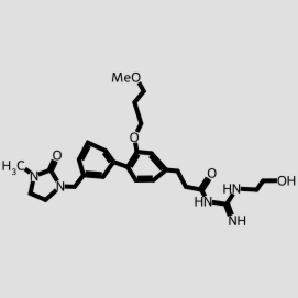 COCCCOc1cc(CCC(=O)NC(=N)NCCO)ccc1-c1cccc(CN2CCN(C)C2=O)c1